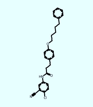 N#Cc1cc(NC(=O)CCc2ccc(OCCCCCc3ccccc3)cc2)ccc1Cl